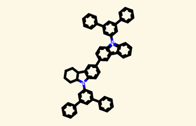 c1ccc(-c2cc(-c3ccccc3)cc(N3c4ccc(-c5ccc6c(c5)c5ccccc5n6-c5cc(-c6ccccc6)cc(-c6ccccc6)c5)cc4C4CCCCC43)c2)cc1